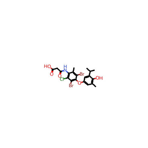 Cc1cc(Oc2c(Br)c(C)c(NC(=O)CC(=O)O)c(Cl)c2Br)cc(C(C)C)c1O